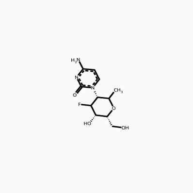 CC1O[C@H](CO)[C@H](O)C(F)[C@@H]1n1ccc(N)nc1=O